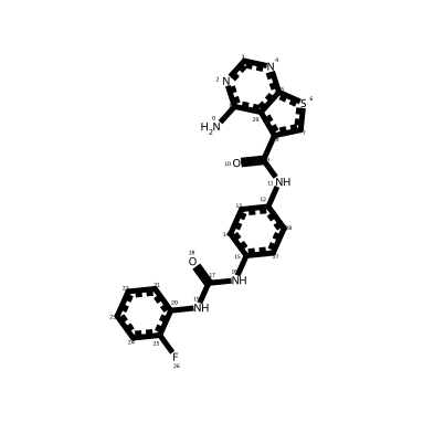 Nc1ncnc2scc(C(=O)Nc3ccc(NC(=O)Nc4ccccc4F)cc3)c12